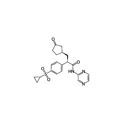 O=C1CC[C@H](C[C@@H](C(=O)Nc2cnccn2)c2ccc(S(=O)(=O)C3CC3)cc2)C1